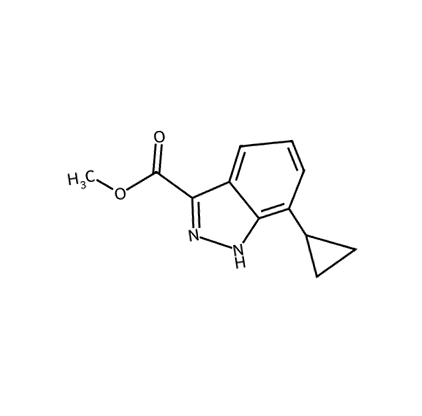 COC(=O)c1n[nH]c2c(C3CC3)cccc12